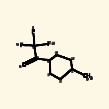 CC1CCC(C(=O)C(F)(F)F)CC1